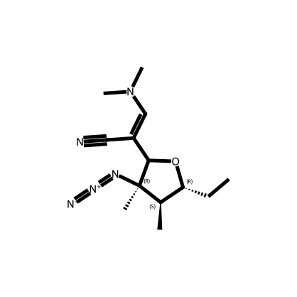 CC[C@H]1OC(C(C#N)=CN(C)C)[C@](C)(N=[N+]=[N-])[C@@H]1C